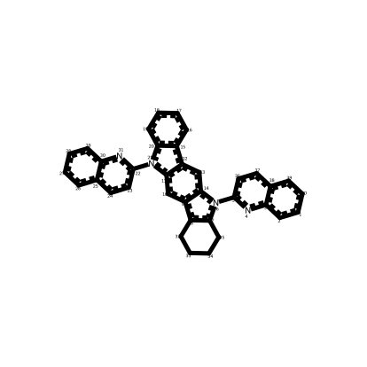 c1ccc2nc(-n3c4c(c5cc6c(cc53)c3ccccc3n6-c3ccc5ccccc5n3)CCCC4)ccc2c1